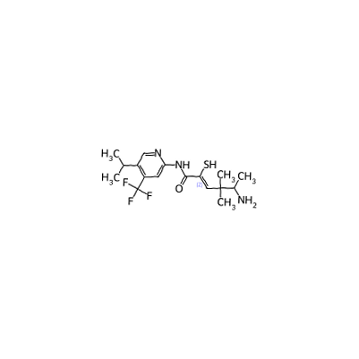 CC(C)c1cnc(NC(=O)/C(S)=C/C(C)(C)C(C)N)cc1C(F)(F)F